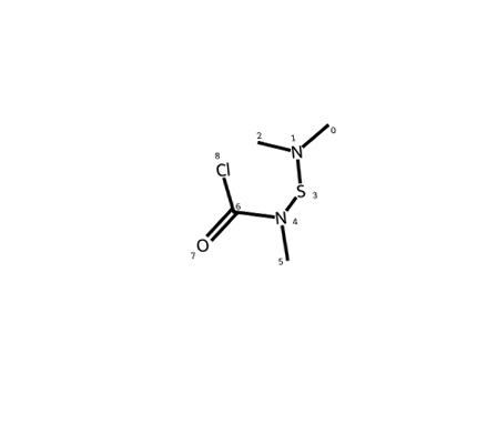 CN(C)SN(C)C(=O)Cl